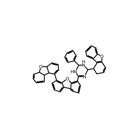 C1=CC2OC3C=CC=C(c4cccc5c4oc4c(C6=NC(C7CC=Cc8oc9ccccc9c87)NC(c7ccccc7)N6)cccc45)C3C2C=C1